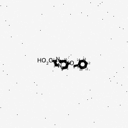 O=C(O)c1cn2ccc(OCc3ccccc3)cc2n1